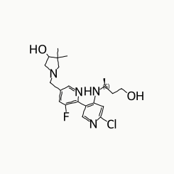 C[C@@H](CCO)Nc1cc(Cl)ncc1-c1ncc(CN2CC(O)C(C)(C)C2)cc1F